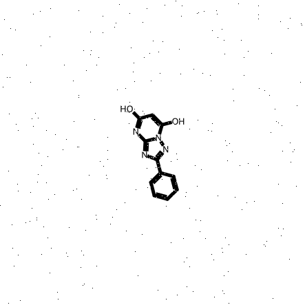 Oc1cc(O)n2nc(-c3ccccc3)nc2n1